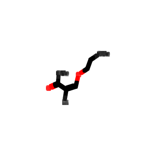 CCC(=COCCOC)C(=O)OC